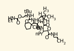 C=CCNC(=O)C(=O)C(CCC)NC(=O)[C@@H]1[C@@H]2[C@H](CN1C(=O)[C@@H](NC(=O)N[C@H](COC(=O)NCC)C(C)(C)C)C1(C)CCCCC1)C2(C)C